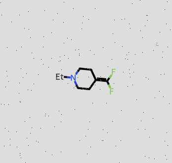 CCN1CCC(=C(F)F)CC1